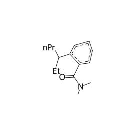 CCCC(CC)c1ccccc1C(=O)N(C)C